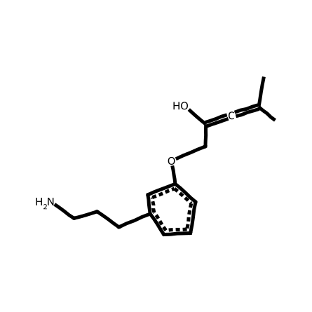 CC(C)=C=C(O)COc1cccc(CCCN)c1